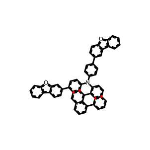 c1ccc(-c2cccc3cccc(-c4ccccc4N(c4ccc(-c5ccc6c(c5)oc5ccccc56)cc4)c4ccc(-c5ccc6oc7ccccc7c6c5)cc4)c23)cc1